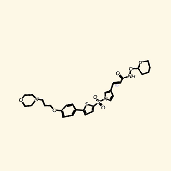 O=C(/C=C/c1ccn(S(=O)(=O)c2ccc(-c3ccc(OCCCN4CCOCC4)cc3)s2)c1)NOC1CCCCO1